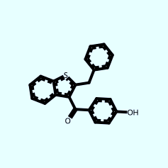 O=C(c1ccc(O)cc1)c1c(Cc2ccccc2)sc2ccccc12